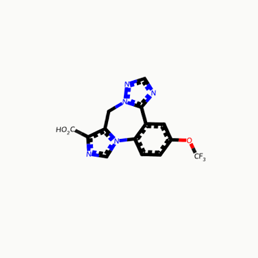 O=C(O)c1ncn2c1Cn1ncnc1-c1cc(OC(F)(F)F)ccc1-2